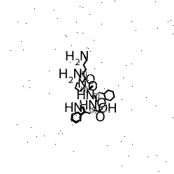 NCCC[C@H](N)C(=O)N1CCC[C@H]1C(=O)N[C@H](CC1CCCCC1)C(=O)N[C@@H](Cc1c[nH]c2ccccc12)C(=O)O